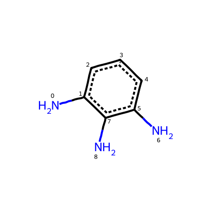 Nc1c[c]cc(N)c1N